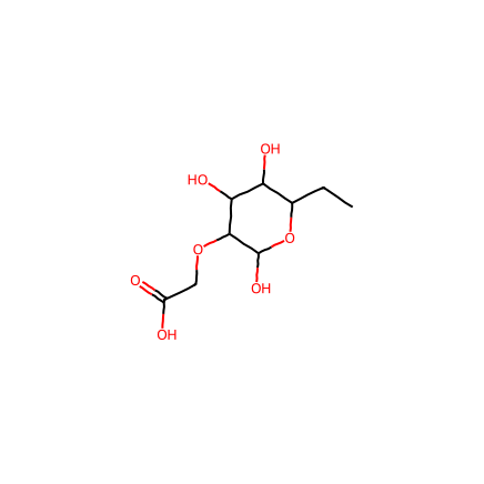 CCC1OC(O)C(OCC(=O)O)C(O)C1O